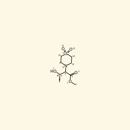 COC(=O)C([C@@H](C)O)N1CCS(=O)(=O)CC1